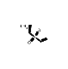 C.C=CS(=O)(=O)C=C